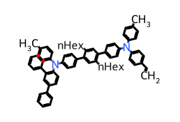 C=Cc1ccc(N(c2ccc(C)cc2)c2ccc(-c3cc(CCCCCC)c(-c4ccc(N(c5ccc(C)cc5)c5ccc(-c6ccccc6)cc5-c5ccccc5)cc4)cc3CCCCCC)cc2)cc1